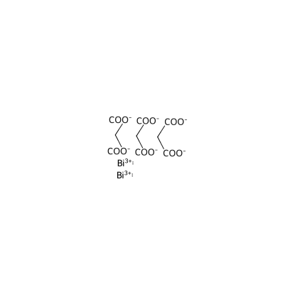 O=C([O-])CC(=O)[O-].O=C([O-])CC(=O)[O-].O=C([O-])CC(=O)[O-].[Bi+3].[Bi+3]